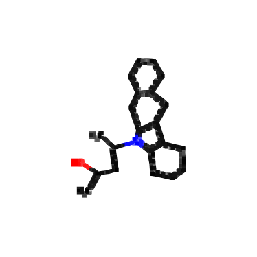 C=C(O)/C=C(\C)n1c2ccccc2c2cc3ccccc3cc21